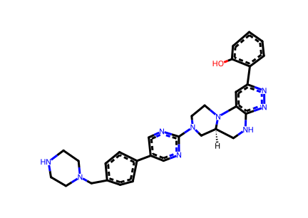 Oc1ccccc1-c1cc2c(nn1)NC[C@H]1CN(c3ncc(-c4ccc(CN5CCNCC5)cc4)cn3)CCN21